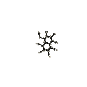 [O]Cc1c(F)c(F)c(F)c2c(F)c(F)c(F)c(F)c12